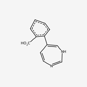 O=C(O)c1ccccc1C1=CNC=NC=C1